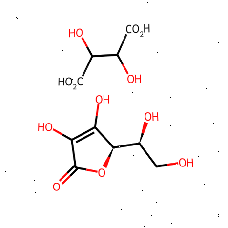 O=C(O)C(O)C(O)C(=O)O.O=C1O[C@H]([C@@H](O)CO)C(O)=C1O